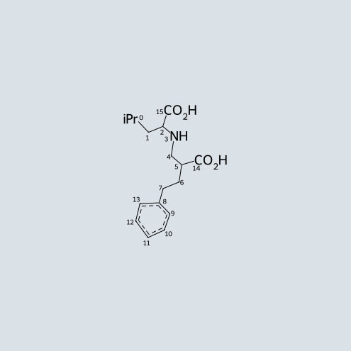 CC(C)CC(NCC(CCc1ccccc1)C(=O)O)C(=O)O